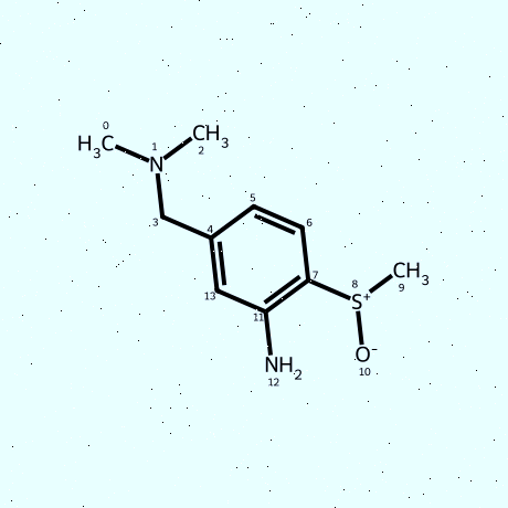 CN(C)Cc1ccc([S+](C)[O-])c(N)c1